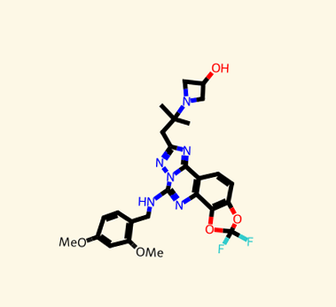 COc1ccc(CNc2nc3c4c(ccc3c3nc(CC(C)(C)N5CC(O)C5)nn23)OC(F)(F)O4)c(OC)c1